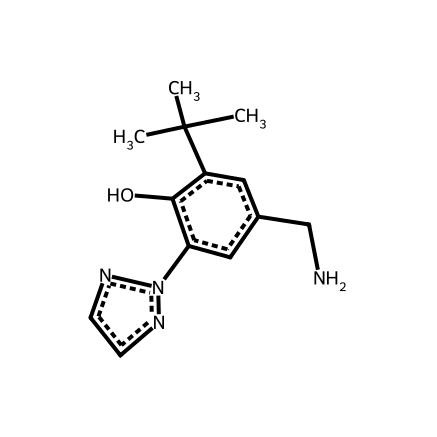 CC(C)(C)c1cc(CN)cc(-n2nccn2)c1O